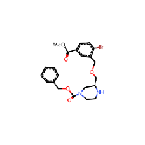 COC(=O)c1ccc(Br)c(COC[C@@H]2CN(C(=O)OCc3ccccc3)CCN2)c1